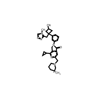 C[C@@H]1CCCN(Cc2cc3c(c(C4CC4)n2)CN(c2cccc(C4(Cc5nncn5C)CC(C#N)C4)c2)C3=O)C1